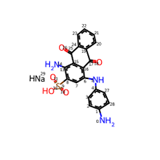 Nc1ccc(Nc2cc(S(=O)(=O)O)c(N)c3c2C(=O)c2ccccc2C3=O)cc1.[NaH]